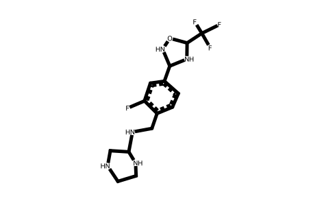 Fc1cc(C2NOC(C(F)(F)F)N2)ccc1CNC1CNCCN1